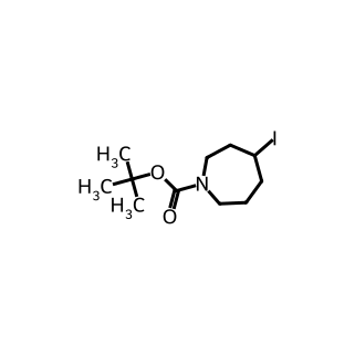 CC(C)(C)OC(=O)N1CCCC(I)CC1